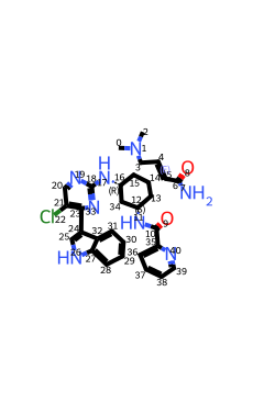 CN(C)C/C=C/C(N)=O.O=C(N[C@H]1CCC[C@@H](Nc2ncc(Cl)c(-c3c[nH]c4ccccc34)n2)C1)c1ccccn1